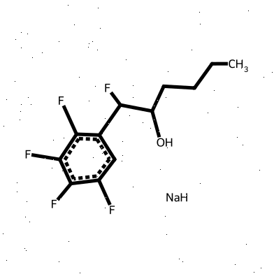 CCCCC(O)C(F)c1cc(F)c(F)c(F)c1F.[NaH]